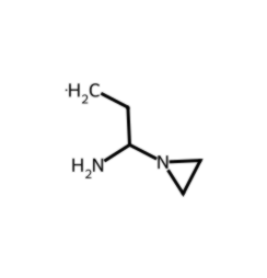 [CH2]CC(N)N1CC1